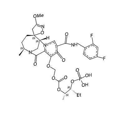 CC[C@@H](OP(=O)(O)O)[C@H](C)OC(=O)OCOc1c2n(cc(C(=O)NCc3ccc(F)cc3F)c1=O)[C@@H]1CN(C2=O)[C@@H](C)CC[C@]12CC(OC)=NO2